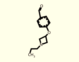 CCCN1CC(Oc2ccc(C=O)cc2)C1